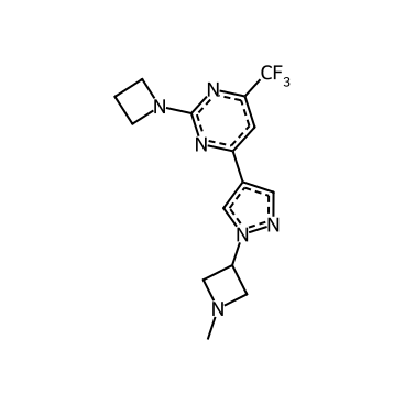 CN1CC(n2cc(-c3cc(C(F)(F)F)nc(N4CCC4)n3)cn2)C1